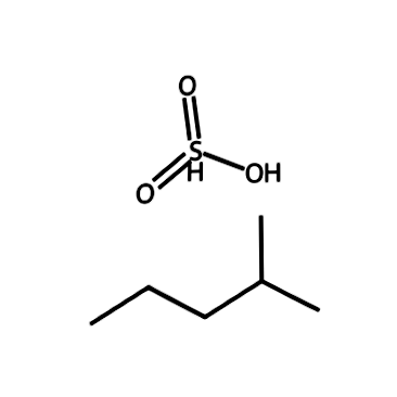 CCCC(C)C.O=[SH](=O)O